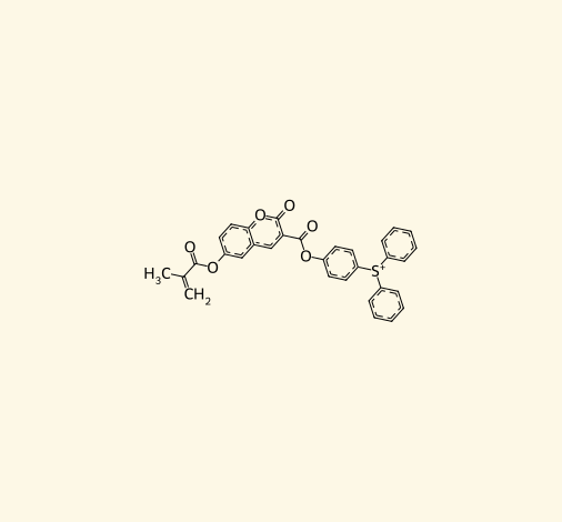 C=C(C)C(=O)Oc1ccc2oc(=O)c(C(=O)Oc3ccc([S+](c4ccccc4)c4ccccc4)cc3)cc2c1